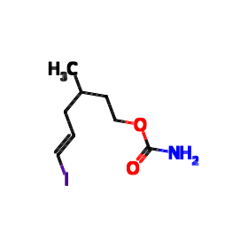 CC(CC=CI)CCOC(N)=O